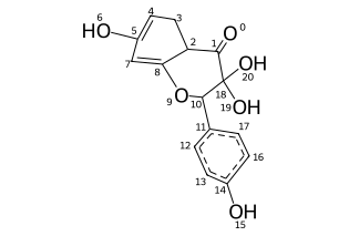 O=C1C2CC=C(O)C=C2OC(c2ccc(O)cc2)C1(O)O